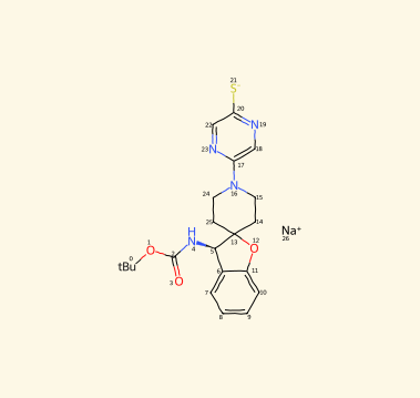 CC(C)(C)OC(=O)N[C@@H]1c2ccccc2OC12CCN(c1cnc([S-])cn1)CC2.[Na+]